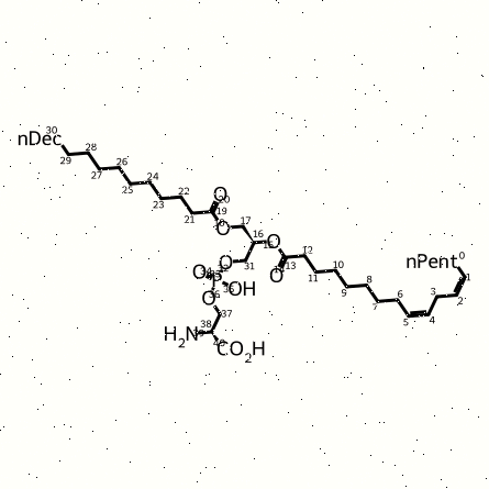 CCCCC/C=C\C/C=C\CCCCCCCC(=O)O[C@H](COC(=O)CCCCCCCCCCCCCCCCCCC)COP(=O)(O)OC[C@H](N)C(=O)O